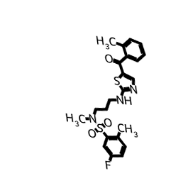 Cc1ccccc1C(=O)c1cnc(NCCCN(C)S(=O)(=O)c2cc(F)ccc2C)s1